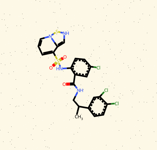 CC(CNC(=O)c1cc(Cl)ccc1NS(=O)(=O)C1=CC=CN2SNC=C12)c1ccc(Cl)c(Cl)c1